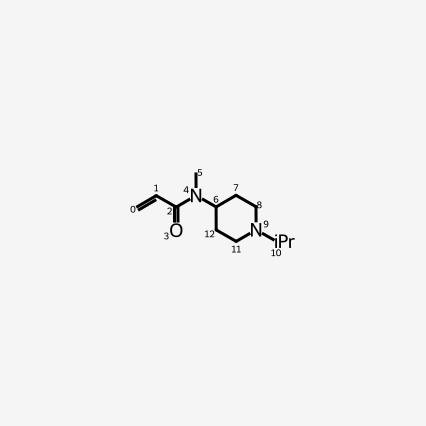 C=CC(=O)N(C)C1CCN(C(C)C)CC1